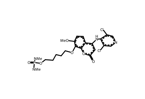 CNP(=O)(NC)OCCCCCOc1c(OC)ccc2c(Nc3c(Cl)cncc3Cl)cc(=O)oc12